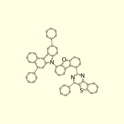 c1ccc(-c2ccc3c(c2)c2c4ccccc4c(-c4ccccc4)cc2n3-c2cccc3c2oc2cccc(-c4nc(-c5ccccc5)c5sc6ccccc6c5n4)c23)cc1